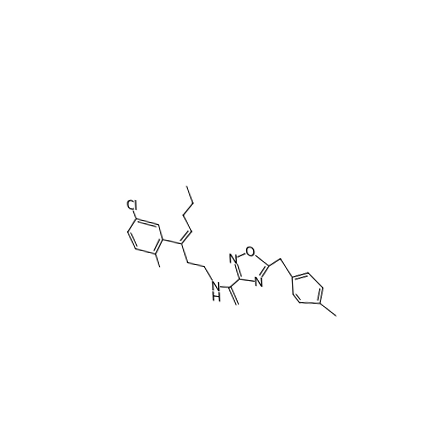 C=C(NCC/C(=C/CCC)c1cc(Cl)ccc1C)c1noc(Cc2ccc(C)cc2)n1